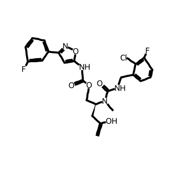 C=C(O)C[C@@H](COC(=O)Nc1cc(-c2cccc(F)c2)no1)N(C)C(=O)NCc1cccc(F)c1Cl